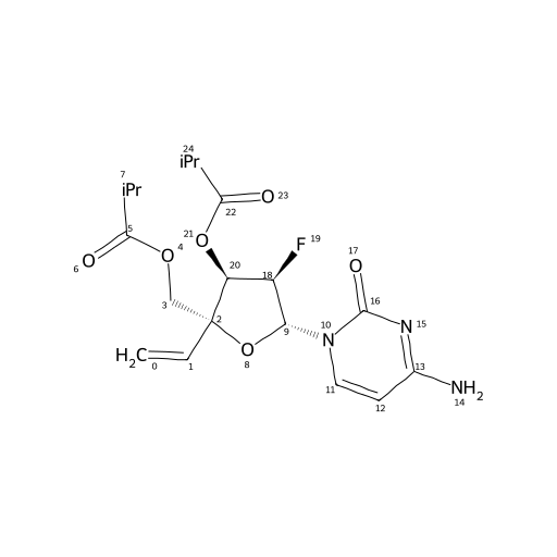 C=C[C@]1(COC(=O)C(C)C)O[C@@H](n2ccc(N)nc2=O)[C@H](F)[C@@H]1OC(=O)C(C)C